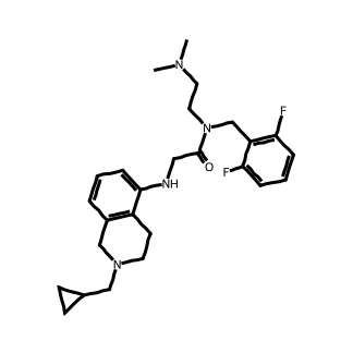 CN(C)CCN(Cc1c(F)cccc1F)C(=O)CNc1cccc2c1CCN(CC1CC1)C2